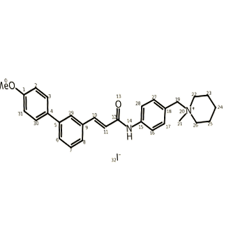 COc1ccc(-c2cccc(C=CC(=O)Nc3ccc(C[N+]4(C)CCCCC4)cc3)c2)cc1.[I-]